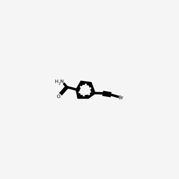 NC(=O)c1ccc(C#CBr)cc1